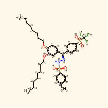 CCCCCCCCOc1ccc(/C(=N\NS(=O)(=O)c2ccc(C)cc2)c2ccc(S(=O)(=O)C(F)(F)F)cc2)cc1OCCCCCCCC